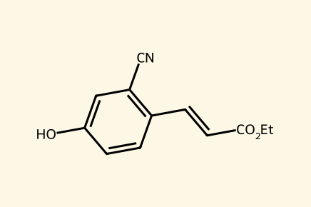 CCOC(=O)C=Cc1ccc(O)cc1C#N